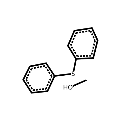 CO.c1ccc(Sc2ccccc2)cc1